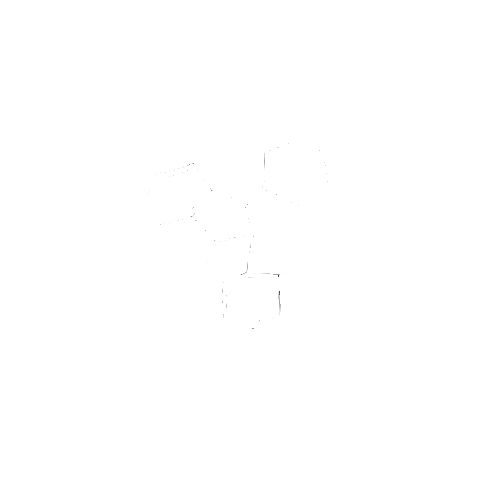 O=Cc1ccc(Cl)cc1[N+]([O-])(C(=O)N1CCNCC1)C(C(=O)O)c1ccccc1